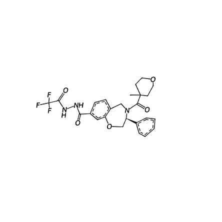 CC1(C(=O)N2Cc3ccc(C(=O)NNC(=O)C(F)(F)F)cc3OC[C@@H]2c2ccccc2)CCOCC1